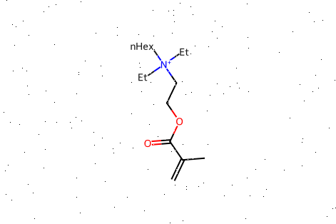 C=C(C)C(=O)OCC[N+](CC)(CC)CCCCCC